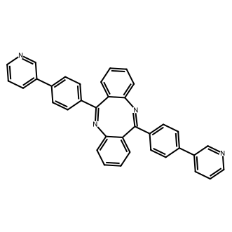 c1cncc(-c2ccc(/C3=N/c4ccccc4/C(c4ccc(-c5cccnc5)cc4)=N\c4ccccc43)cc2)c1